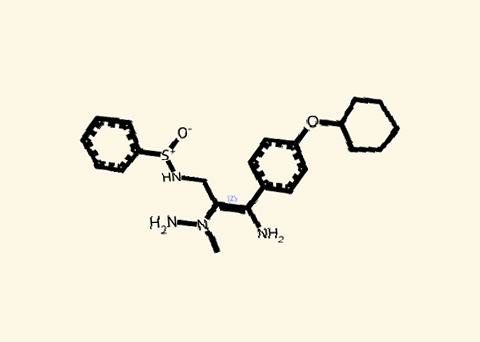 CN(N)/C(CN[S+]([O-])c1ccccc1)=C(\N)c1ccc(OC2CCCCC2)cc1